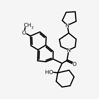 COc1ccc2cc(C(C(=O)N3CCC(N4CCCC4)CC3)C3(O)CCCCC3)ccc2c1